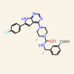 COc1cccc([C@H](C)NC(O)N2CCN(c3ncnc4[nH]c(-c5ccc(F)cc5)cc34)C[C@H]2C)c1